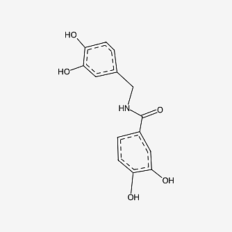 O=C(NCc1ccc(O)c(O)c1)c1ccc(O)c(O)c1